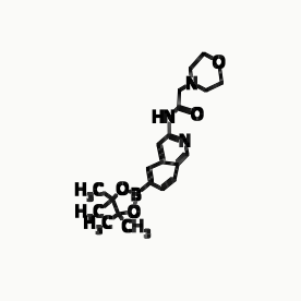 CC1(C)OB(c2ccc3cnc(NC(=O)CN4CCOCC4)cc3c2)OC1(C)C